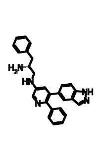 N[C@@H](CNc1cnc(-c2ccccc2)c(-c2ccc3[nH]ncc3c2)c1)Cc1ccccc1